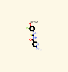 CCCCCOc1ccc(NC(=S)NC(=O)c2ccc(N)nc2)cc1F